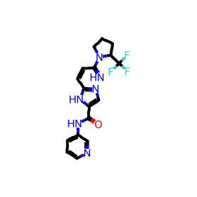 N=C(/C=C\c1ncc(C(=O)Nc2cccnc2)[nH]1)N1CCCC1C(F)(F)F